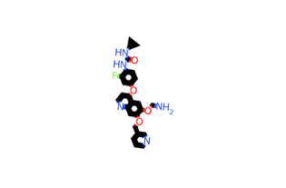 NCOc1cc2c(Oc3ccc(NC(=O)NC4CC4)c(F)c3)ccnc2cc1OCc1cccnc1